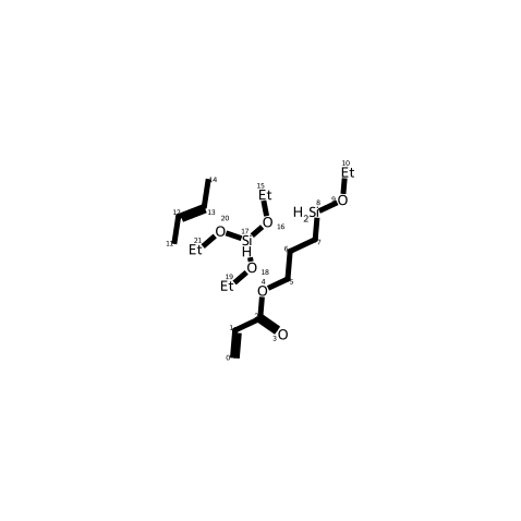 C=CC(=O)OCCC[SiH2]OCC.CC=CC.CCO[SiH](OCC)OCC